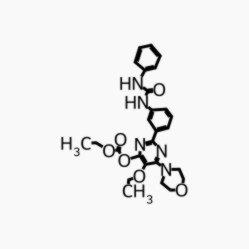 CCOC(=O)Oc1nc(-c2cccc(NC(=O)Nc3ccccc3)c2)nc(N2CCOCC2)c1OCC